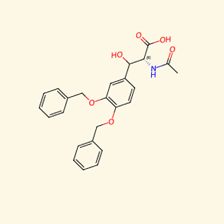 CC(=O)N[C@@H](C(=O)O)C(O)c1ccc(OCc2ccccc2)c(OCc2ccccc2)c1